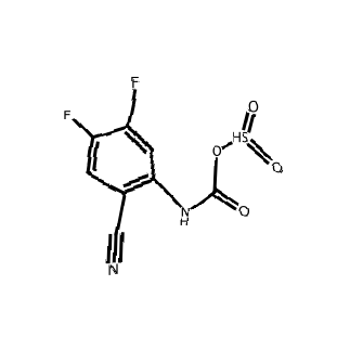 N#Cc1cc(F)c(F)cc1NC(=O)O[SH](=O)=O